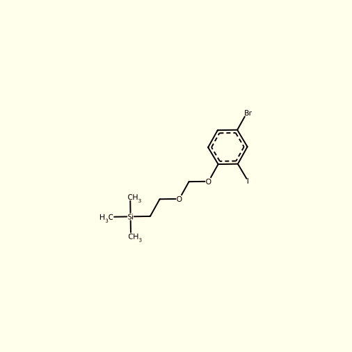 C[Si](C)(C)CCOCOc1ccc(Br)cc1I